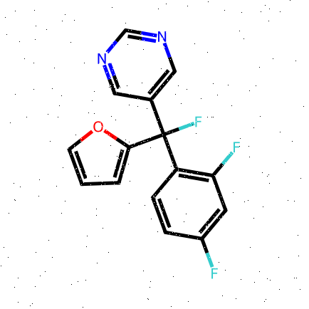 Fc1ccc(C(F)(c2cncnc2)c2ccco2)c(F)c1